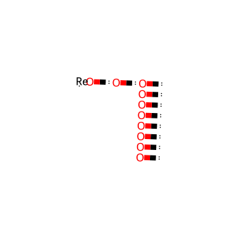 [C]=O.[C]=O.[C]=O.[C]=O.[C]=O.[C]=O.[C]=O.[C]=O.[C]=O.[C]=O.[Re]